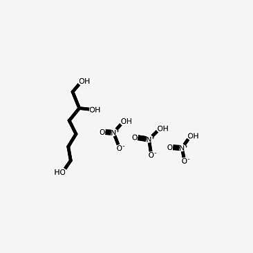 O=[N+]([O-])O.O=[N+]([O-])O.O=[N+]([O-])O.OCCCCC(O)CO